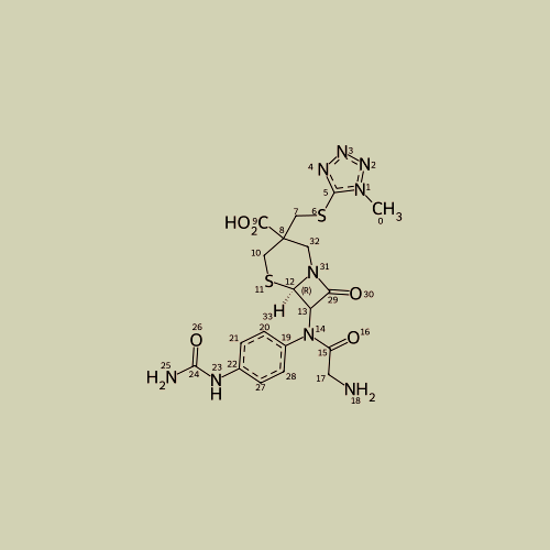 Cn1nnnc1SCC1(C(=O)O)CS[C@@H]2C(N(C(=O)CN)c3ccc(NC(N)=O)cc3)C(=O)N2C1